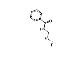 C[O][Sn][CH2]NC(=O)c1ccccc1